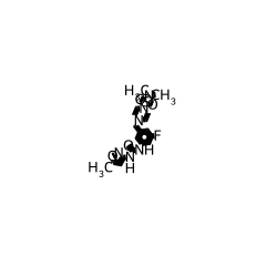 Cc1cc(NC(=O)Nc2cc(F)cc(CN3CCN(S(=O)(=O)N(C)C)CC3)c2)no1